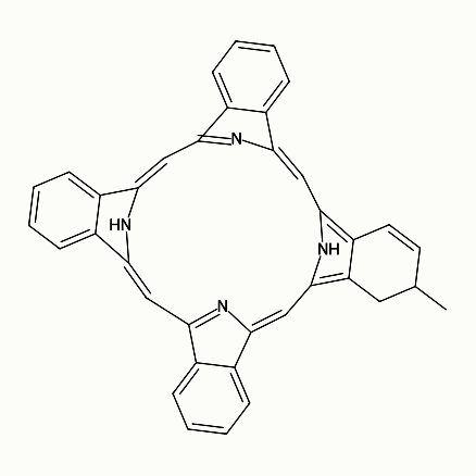 CC1C=Cc2c(c3cc4nc(cc5[nH]c(cc6nc(cc2[nH]3)-c2ccccc2-6)c2ccccc52)-c2ccccc2-4)C1